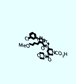 COCCCCc1c(C(=O)N(CC(C)C)[C@H]2C[C@@H](C(=O)N3CCOCC3)CN(C(=O)O)C2)nnn1-c1cccc(Cl)c1